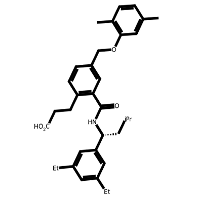 CCc1cc(CC)cc([C@@H](CC(C)C)NC(=O)c2cc(COc3cc(C)ccc3C)ccc2CCC(=O)O)c1